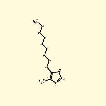 CCCCCCCCCC1=C(C)P=P[N]1